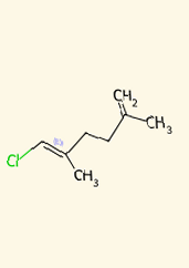 C=C(C)CC/C(C)=C/Cl